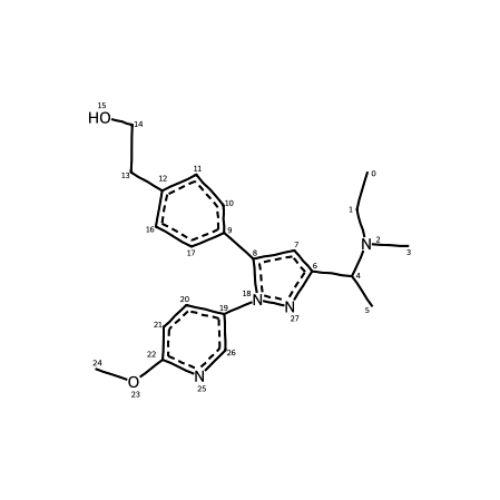 CCN(C)C(C)c1cc(-c2ccc(CCO)cc2)n(-c2ccc(OC)nc2)n1